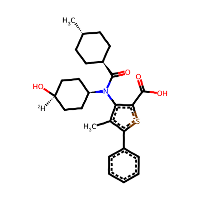 [2H][C@]1(O)CC[C@@H](N(c2c(C(=O)O)sc(-c3ccccc3)c2C)C(=O)[C@H]2CC[C@H](C)CC2)CC1